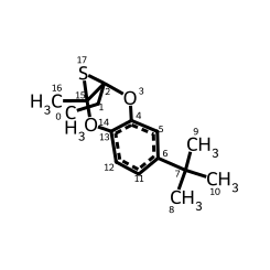 CCC12Oc3cc(C(C)(C)C)ccc3OC1(C)S2